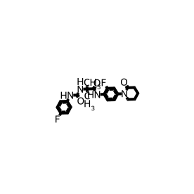 CC(C)(NC(=O)Nc1ccc(F)cc1)C(=O)Nc1ccc(N2CCCCC2=O)cc1F